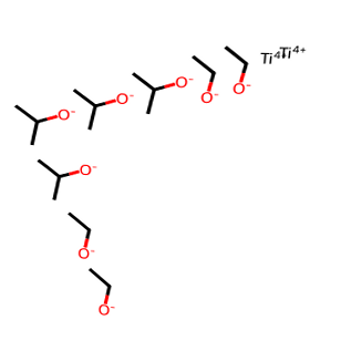 CC(C)[O-].CC(C)[O-].CC(C)[O-].CC(C)[O-].CC[O-].CC[O-].CC[O-].CC[O-].[Ti+4].[Ti+4]